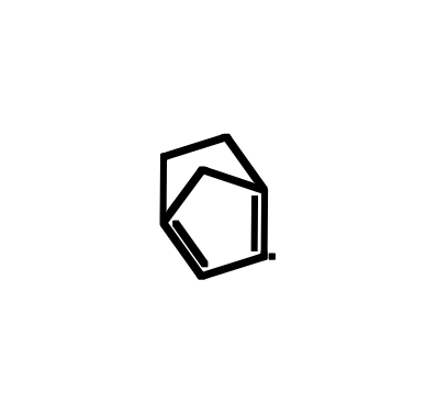 [C]1=C2CCC(=C1)C2